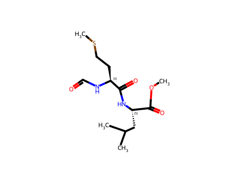 COC(=O)[C@H](CC(C)C)NC(=O)[C@H](CCSC)NC=O